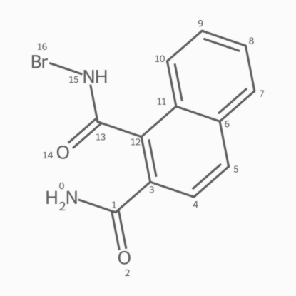 NC(=O)c1ccc2ccccc2c1C(=O)NBr